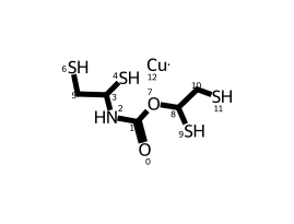 O=C(NC(S)CS)OC(S)CS.[Cu]